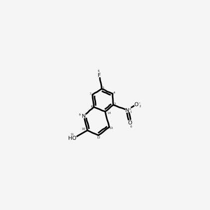 O=[N+]([O-])c1cc(F)cc2nc(O)ccc12